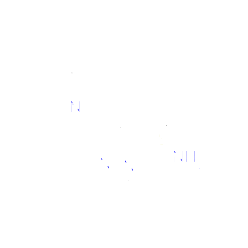 Cn1nc(SN)cc1CN1CCC1